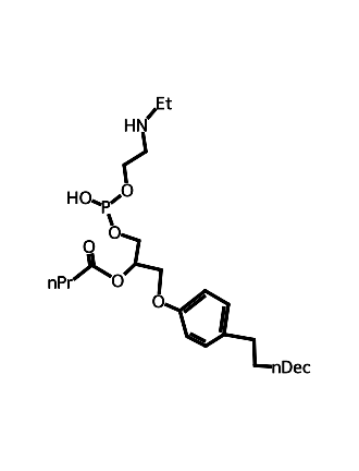 CCCCCCCCCCCCc1ccc(OCC(COP(O)OCCNCC)OC(=O)CCC)cc1